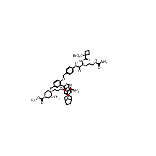 CCOC(=O)C1(C(=O)N[C@@H](CCCNC(N)=O)C(=O)Nc2ccc(COc3ccc(F)cc3-c3cc(N4CC5CCC(C4)N5c4ccnc(OCCN5CCN(C(=O)OC(C)(C)C)C[C@H]5C)c4)c(N)nn3)cc2)CCC1